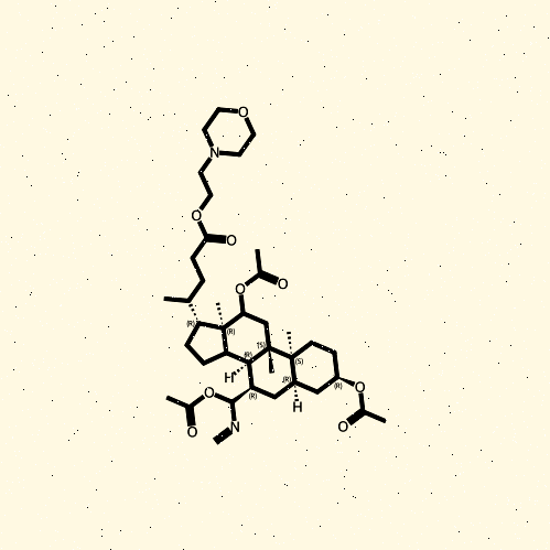 C=NC(OC(C)=O)[C@@H]1C[C@@H]2C[C@H](OC(C)=O)CC[C@]2(C)[C@@]2(C)CC(OC(C)=O)[C@@]3(C)C(CC[C@@H]3C(C)CCC(=O)OCCN3CCOCC3)[C@H]12